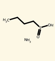 CCCCS(=O)O.N